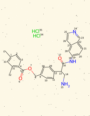 Cc1ccc(C(=O)OCc2ccc(C(CN)C(=O)Nc3ccc4cnccc4c3)cc2)c(C)c1.Cl.Cl